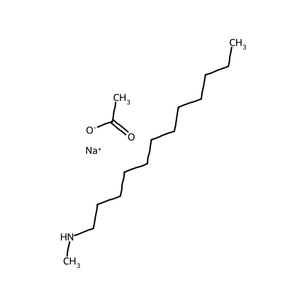 CC(=O)[O-].CCCCCCCCCCCCNC.[Na+]